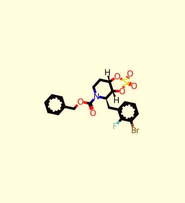 O=C(OCc1ccccc1)N1CC[C@@H]2OS(=O)(=O)O[C@@H]2[C@H]1Cc1cccc(Br)c1F